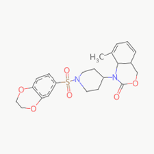 CC1=CC=CC2COC(=O)N(C3CCN(S(=O)(=O)c4ccc5c(c4)OCCO5)CC3)C12